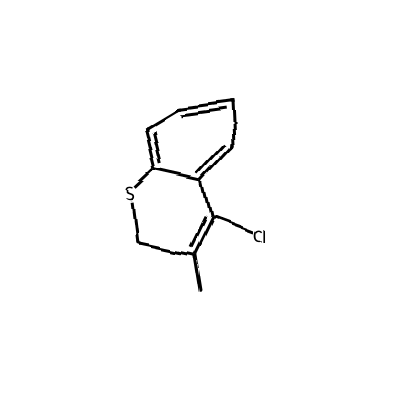 CC1=C(Cl)c2ccccc2SC1